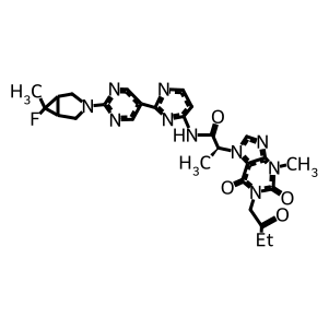 CCC(=O)Cn1c(=O)c2c(ncn2[C@@H](C)C(=O)Nc2ccnc(-c3cnc(N4CC5C(C4)C5(C)F)nc3)n2)n(C)c1=O